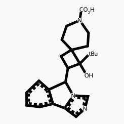 CC(C)(C)C1(O)C(C2c3ccccc3-c3cncn32)CC12CCN(C(=O)O)CC2